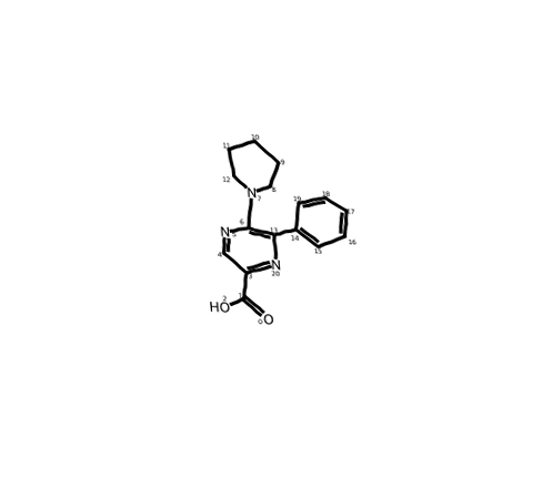 O=C(O)c1cnc(N2CCCCC2)c(-c2ccccc2)n1